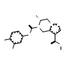 C[C@H]1Cn2ncc(C(=O)NC(C)(C)C)c2CN1C(=O)Nc1ccc(F)c(F)c1